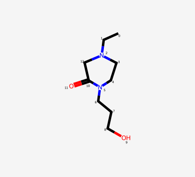 CCN1CCN(CCCO)C(=O)C1